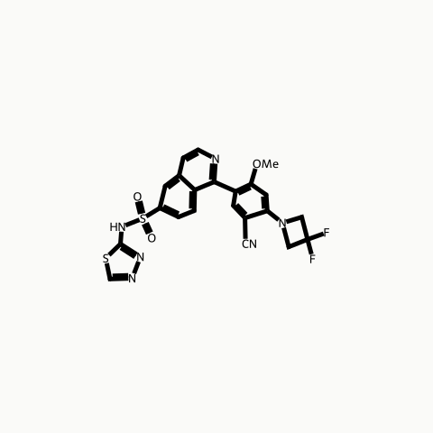 COc1cc(N2CC(F)(F)C2)c(C#N)cc1-c1nccc2cc(S(=O)(=O)Nc3nncs3)ccc12